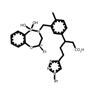 CC[C@@H]1CN(Cc2cc(C(CCc3cn(C(C)C)nn3)CC(=O)O)ccc2C)S(O)(O)c2ccccc2O1